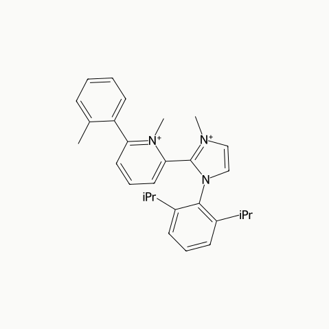 Cc1ccccc1-c1cccc(-c2n(-c3c(C(C)C)cccc3C(C)C)cc[n+]2C)[n+]1C